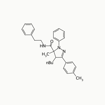 CCCCC1C(c2ccc(C)cc2)=NN(c2ccccc2)C1(C)C(=O)NCCc1ccccc1